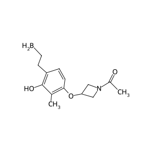 BCCc1ccc(OC2CN(C(C)=O)C2)c(C)c1O